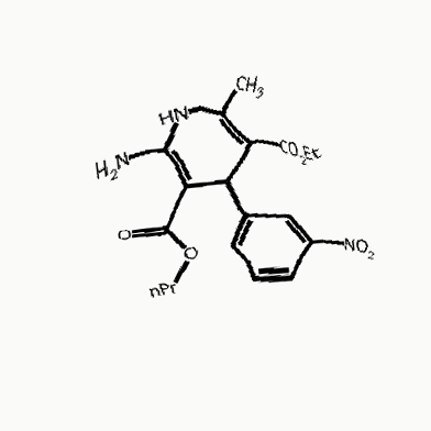 CCCOC(=O)C1=C(N)NC(C)=C(C(=O)OCC)C1c1cccc([N+](=O)[O-])c1